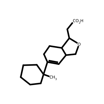 CC1(C2=CC3COC(CC(=O)O)C3CC2)CCCCC1